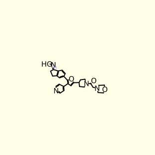 O=C(CN1CCOCC1)N1CCC(c2cc(-c3ccncc3)c(-c3ccc4c(c3)CC/C4=N\O)o2)CC1